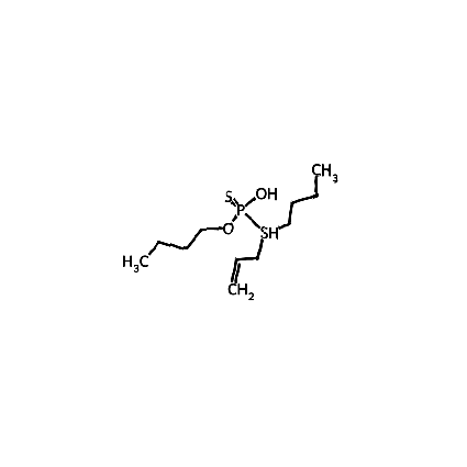 C=CC[SH](CCCC)P(O)(=S)OCCCC